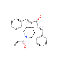 C=CC(=O)N1CCC2(CC1)/C(=C\c1ccccc1)C(=O)/C2=C/c1ccccc1